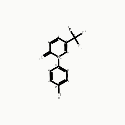 O=c1ccc(C(F)(F)F)cn1-c1ccc(Cl)cc1